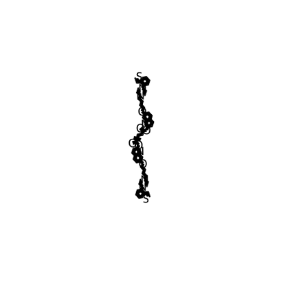 CC(C)(CCC(=O)Oc1ccc2ccc(OCCCCN3CCN(c4cccc5sccc45)CC3)cc2n1)C(=O)Oc1ccc2ccc(OCCCCN3CCN(c4cccc5sccc45)CC3)cc2n1